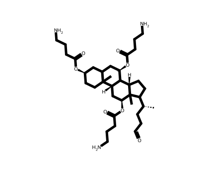 C[C@H](CCC=O)C1CC[C@H]2C3[C@H](OC(=O)CCCN)CC4C[C@H](OC(=O)CCCN)CCC4(C)[C@H]3C[C@H](OC(=O)CCCN)C12C